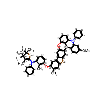 COc1ccc2c(c1)N(c1ccccc1)c1cccc3c1B2c1cc2sc4cc(C)c(Oc5cccc(N(C6=C(C)C(C)(C)C(C)(C)S6)c6ccccc6)c5C)cc4c2cc1O3